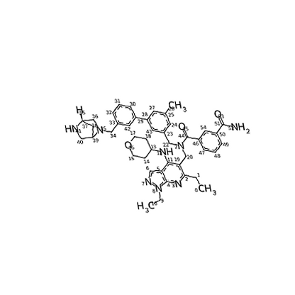 CCc1nc2c(cnn2CC)c(NC2CCOCC2)c1CN(Cc1cc(C)cc(-c2cccc(CN3C[C@@H]4CC3CN4)c2)c1)C(=O)c1cccc(C(N)=O)c1